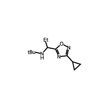 CCC(NC(C)(C)C)c1nc(C2CC2)no1